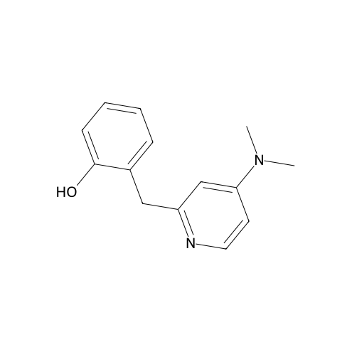 CN(C)c1ccnc(Cc2ccccc2O)c1